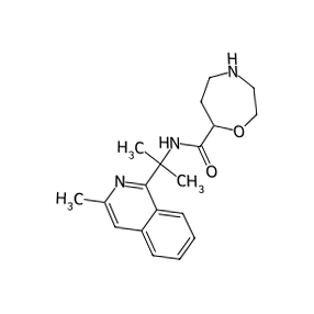 Cc1cc2ccccc2c(C(C)(C)NC(=O)C2CCNCCO2)n1